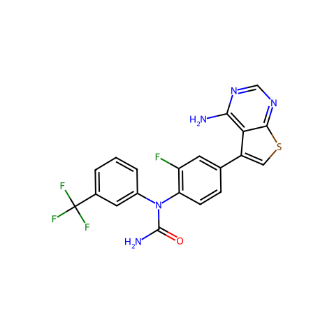 NC(=O)N(c1cccc(C(F)(F)F)c1)c1ccc(-c2csc3ncnc(N)c23)cc1F